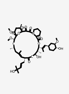 CO[C@H]1C[C@@H](C)C/C(C)=C/[C@@H](C/C=C/C(C)(C)O)C(=O)C[C@H](O)[C@@H](C)[C@@H](/C(C)=C/[C@@H]2CC[C@@H](O)[C@H](OC)C2)OC(=O)[C@@H]2CCCCN2C(=O)C(=O)[C@]2(O)O[C@H]1[C@@H](OC)C[C@H]2C